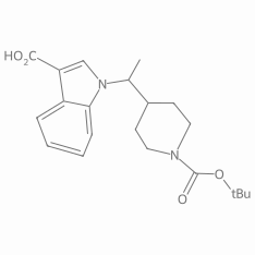 CC(C1CCN(C(=O)OC(C)(C)C)CC1)n1cc(C(=O)O)c2ccccc21